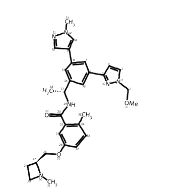 COCn1ccc(-c2cc(-c3cnn(C)c3)cc([C@@H](C)NC(=O)c3cc(OC[C@@H]4CCN4C)ccc3C)c2)n1